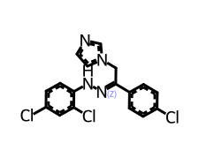 Clc1ccc(/C(Cn2ccnc2)=N/Nc2ccc(Cl)cc2Cl)cc1